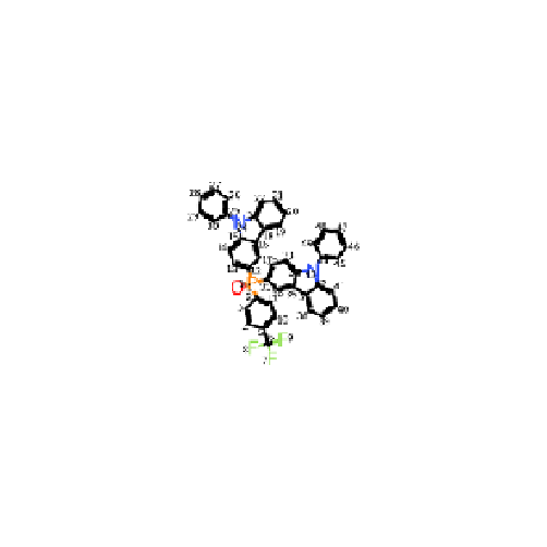 O=P(c1ccc(C(F)(F)F)cc1)(c1ccc2c(c1)c1ccccc1n2-c1ccccc1)c1ccc2c(c1)c1ccccc1n2-c1ccccc1